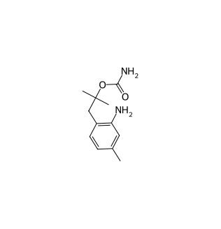 Cc1ccc(CC(C)(C)OC(N)=O)c(N)c1